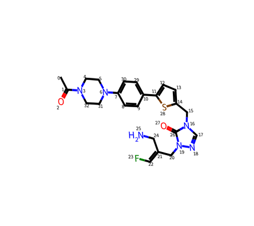 CC(=O)N1CCN(c2ccc(-c3ccc(Cn4cnn(C/C(=C/F)CN)c4=O)s3)cc2)CC1